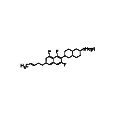 CC=CCCc1cc(F)c2c(F)c(C3CCC4CC(CCCCCCC)CCC4C3)c(F)cc2c1